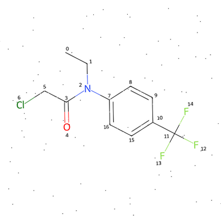 CCN(C(=O)CCl)c1ccc(C(F)(F)F)cc1